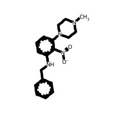 CN1CCN(c2cccc(NCc3ccccc3)c2[N+](=O)[O-])CC1